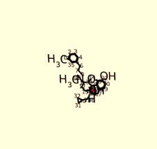 Cc1cccc(CCCN(C)C2CC[C@@]3(O)[C@H]4Cc5ccc(O)c6c5[C@@]3(CCN4CC3CC3)C2O6)c1